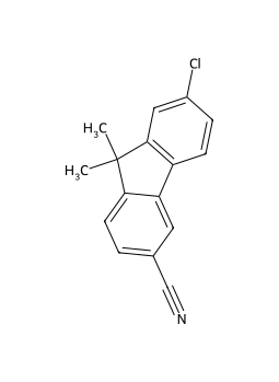 CC1(C)c2ccc(C#N)cc2-c2ccc(Cl)cc21